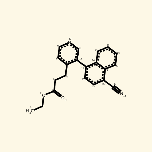 CCOC(=O)CCc1ccncc1-c1ccc(C#N)c2ccccc12